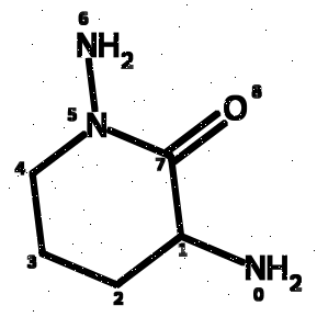 NC1CCCN(N)C1=O